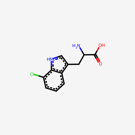 NC(Cc1c[nH]c2c(Cl)cccc12)C(=O)O